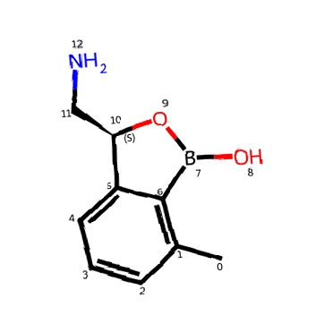 Cc1cccc2c1B(O)O[C@@H]2CN